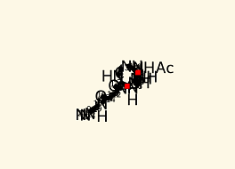 CC(=O)N[C@]12CNCCNC[C@](NC(=O)CCCC(=O)NCCCN=[N+]=[N-])(CNCCNC1)CNNC2